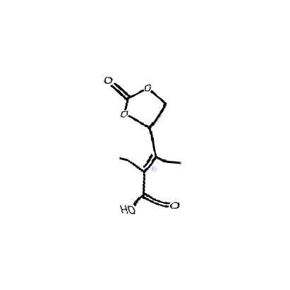 C/C(C(=O)O)=C(/C)C1COC(=O)O1